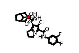 O=C(Nc1ccc(F)c(F)c1)c1c(Cl)c(S(=O)(=O)NC2C3CCC2CC(O)(CO)C3)c2n1CCC2